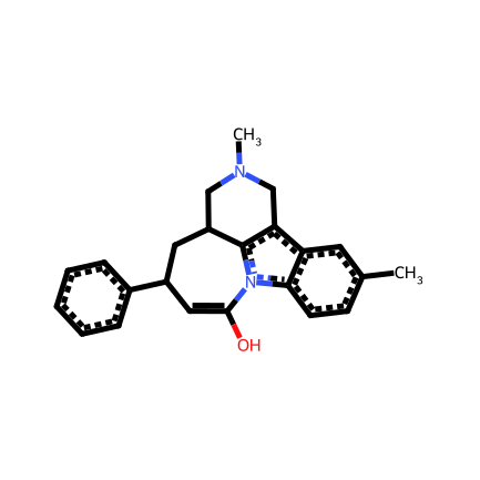 Cc1ccc2c(c1)c1c3n2C(O)=CC(c2ccccc2)CC3CN(C)C1